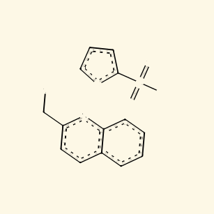 ClCc1ccc2ccccc2n1.O=S(=O)(O)c1cccs1